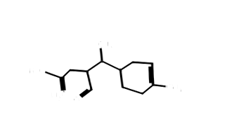 C=C(C)CC(C=O)C(C)C1CC=C(C)CC1